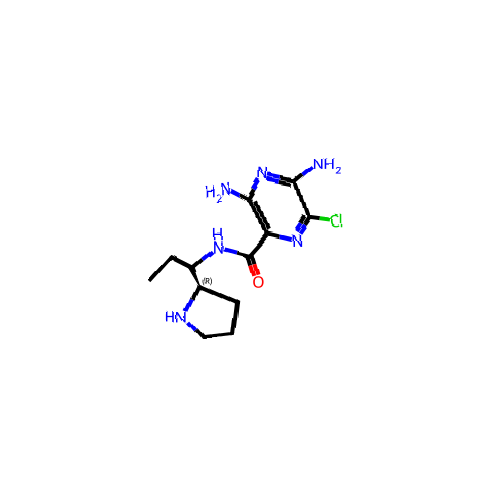 CCC(NC(=O)c1nc(Cl)c(N)nc1N)[C@H]1CCCN1